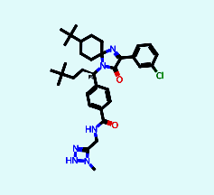 Cn1[nH]nc1CNC(=O)c1ccc([C@@H](CCC(C)(C)C)N2C(=O)C(c3cccc(Cl)c3)=NC23CCC(C(C)(C)C)CC3)cc1